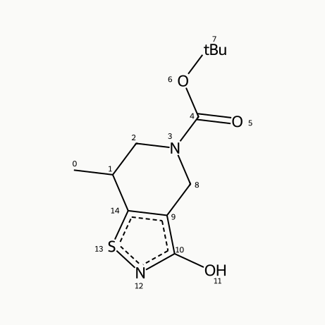 CC1CN(C(=O)OC(C)(C)C)Cc2c(O)nsc21